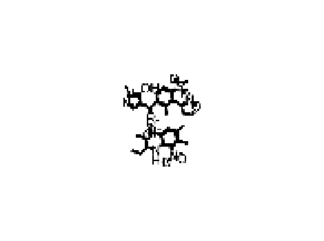 CCC(CC)Nc1c([N+](=O)[O-])cc(C)c(C)c1[N+](=O)[O-].Cc1c(C(=O)c2cnn(C)c2O)ccc(S(C)(=O)=O)c1C1=NOCC1